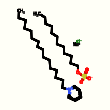 CCCCCCCCCCCCCCCC[n+]1ccccc1.CCCCCCCCCCCCOS(=O)(=O)[O-].[Cl-].[Na+]